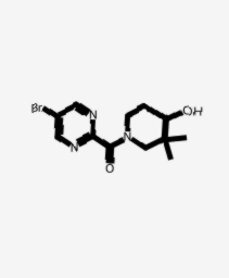 CC1(C)CN(C(=O)c2ncc(Br)cn2)CCC1O